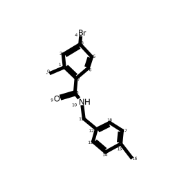 [CH2]c1cc(Br)ccc1C(=O)NCc1ccc(C)cc1